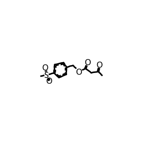 CC(=O)CC(=O)OCc1ccc(S(C)(=O)=O)cc1